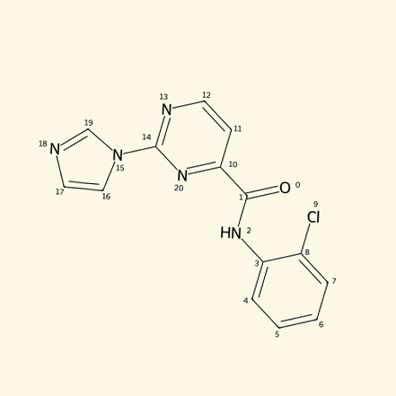 O=C(Nc1ccccc1Cl)c1ccnc(-n2ccnc2)n1